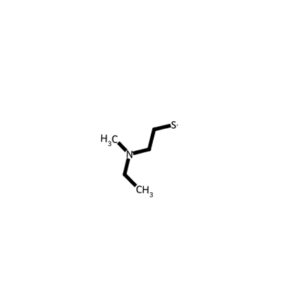 CCN(C)CC[S]